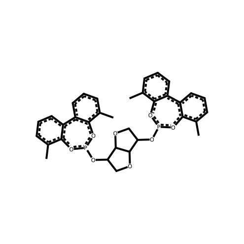 Cc1cccc2c1op(OC1COC3C(Op4oc5c(C)cccc5c5cccc(C)c5o4)COC13)oc1c(C)cccc12